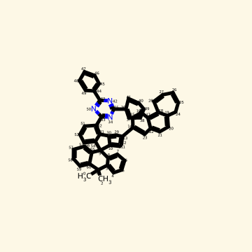 CC1(C)c2ccccc2C2(c3ccc(-c4ccc5c6c(ccc5c4)CC=CC=C6)cc3-c3c(-c4nc(-c5ccccc5)nc(-c5ccccc5)n4)cccc32)c2ccccc21